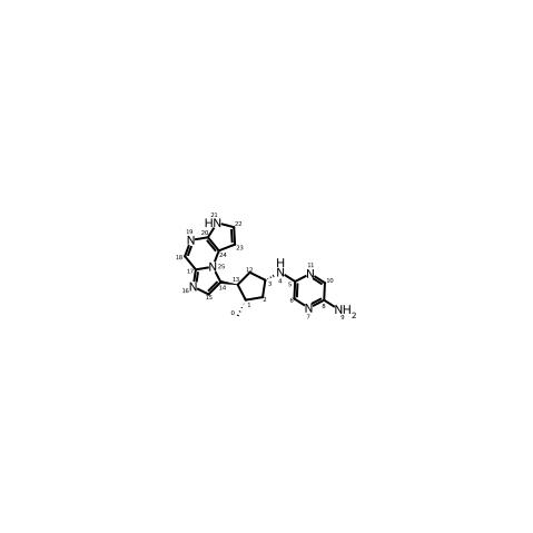 C[C@H]1C[C@@H](Nc2cnc(N)cn2)C[C@@H]1c1cnc2cnc3[nH]ccc3n12